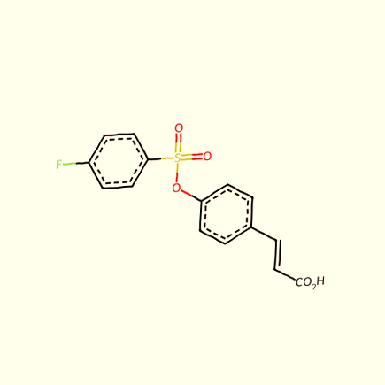 O=C(O)C=Cc1ccc(OS(=O)(=O)c2ccc(F)cc2)cc1